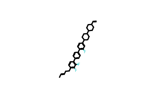 C=CC1CCC(C2CCC(c3ccc(-c4ccc(-c5ccc(CC/C=C/C)c(F)c5F)cc4)c(F)c3)CC2)CC1